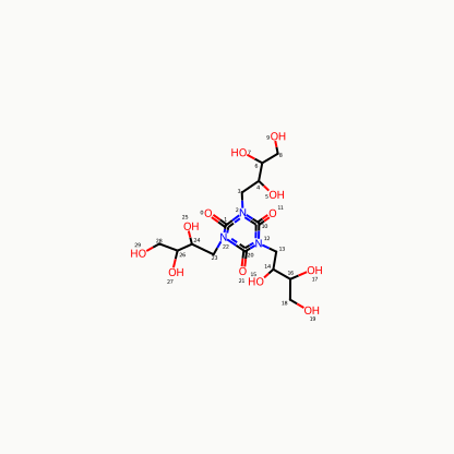 O=c1n(CC(O)C(O)CO)c(=O)n(CC(O)C(O)CO)c(=O)n1CC(O)C(O)CO